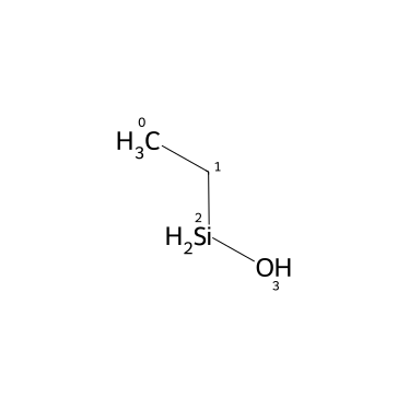 CC[SiH2]O